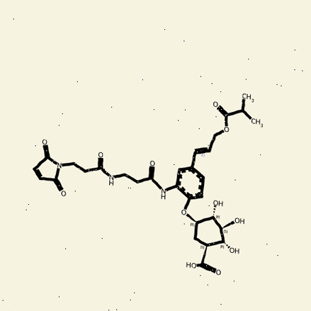 CC(C)C(=O)OC/C=C/c1ccc(O[C@@H]2C[C@H](C(=O)O)[C@@H](O)[C@H](O)[C@H]2O)c(NC(=O)CCNC(=O)CCN2C(=O)C=CC2=O)c1